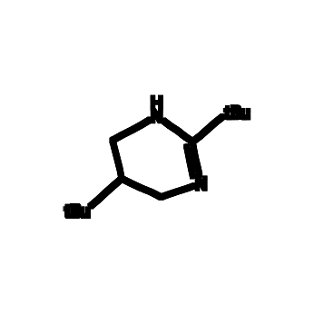 CC(C)(C)C1=NCC(C(C)(C)C)CN1